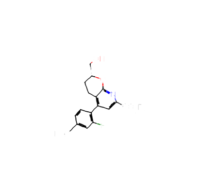 CCOC(=O)c1cc(-c2ccc(C)cc2F)c2c(n1)O[C@H](CO)CC2